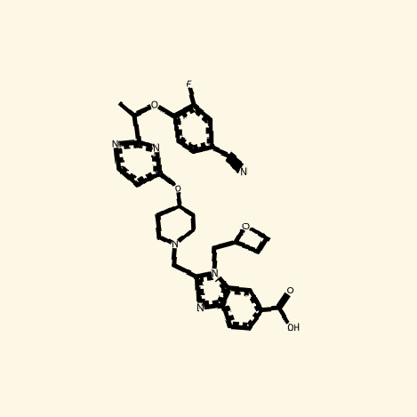 CC(Oc1ccc(C#N)cc1F)c1nccc(OC2CCN(Cc3nc4ccc(C(=O)O)cc4n3CC3CCO3)CC2)n1